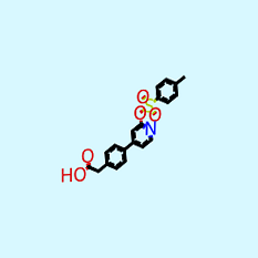 Cc1ccc(S(=O)(=O)Oc2cc(-c3ccc(CC(=O)O)cc3)ccn2)cc1